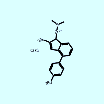 CCCCC1=Cc2c(-c3ccc(C(C)(C)C)cc3)cccc2[CH]1[Zr+2][Si](C)C.[Cl-].[Cl-]